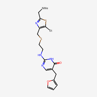 CCc1sc(CNC)nc1CSCCNc1ncc(Cc2ccco2)c(=O)[nH]1